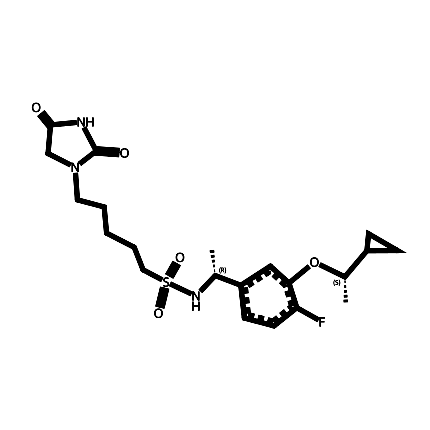 C[C@H](Oc1cc([C@@H](C)NS(=O)(=O)CCCCCN2CC(=O)NC2=O)ccc1F)C1CC1